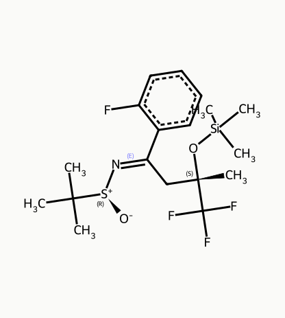 CC(C)(C)[S@+]([O-])/N=C(\C[C@](C)(O[Si](C)(C)C)C(F)(F)F)c1ccccc1F